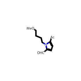 COCCCCn1c(C=O)ccc1C(C)=O